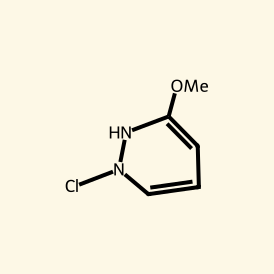 COC1=CC=CN(Cl)N1